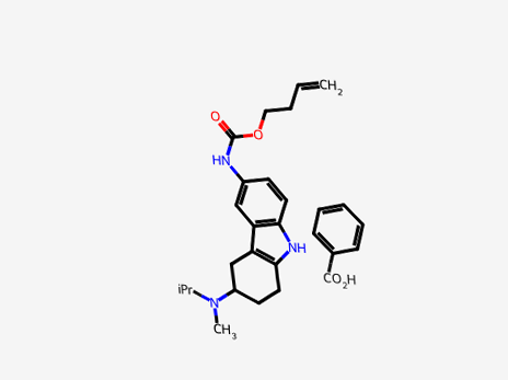 C=CCCOC(=O)Nc1ccc2[nH]c3c(c2c1)CC(N(C)C(C)C)CC3.O=C(O)c1ccccc1